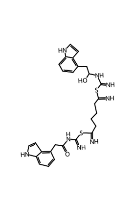 N=C(CCCCC(=N)SC(=N)NC(O)Cc1cccc2[nH]ccc12)SC(=N)NC(=O)Cc1cccc2[nH]ccc12